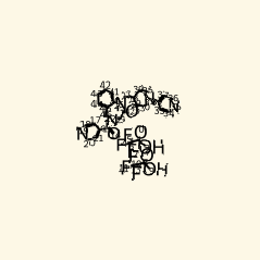 O=C(O)C(F)(F)F.O=C(O)C(F)(F)F.O=C(c1ccncc1)N1CC(=O)N(CC2CCN(c3ccncc3)CC2)c2ccccc2C1